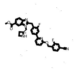 COC(=O)c1ccc2nc(Cc3ccc(-c4cccc(OCc5ccc(C#N)cc5F)n4)cc3F)n(C[C@@H]3CCN3)c2c1